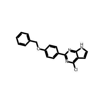 Clc1nc(-c2ccc(OCc3ccccc3)cc2)nc2[nH]ccc12